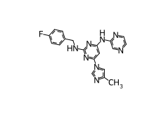 Cc1cn(-c2cc(Nc3cnccn3)nc(NCc3ccc(F)cc3)n2)cn1